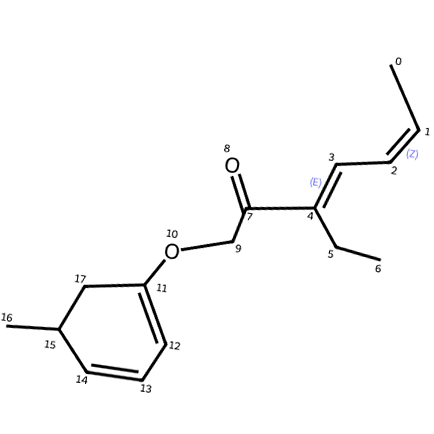 C/C=C\C=C(/CC)C(=O)COC1=CC=CC(C)C1